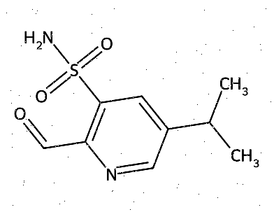 CC(C)c1cnc(C=O)c(S(N)(=O)=O)c1